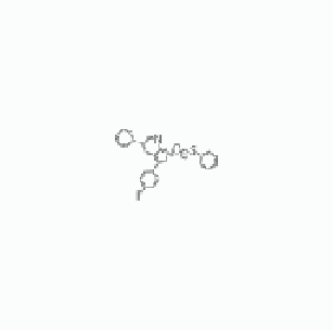 Fc1ccc(-c2cn(OOSc3ccccc3)c3ncc(-c4ccccc4)cc23)cc1